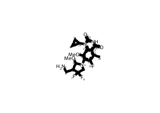 COc1c(N2CC(F)(F)C(CN)C2OC)c(F)c(C)c2c(=O)[nH]c(=O)n(C3CC3)c12